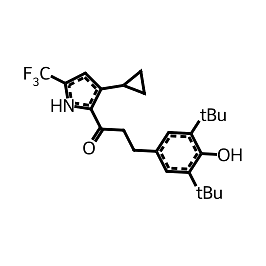 CC(C)(C)c1cc(CCC(=O)c2[nH]c(C(F)(F)F)cc2C2CC2)cc(C(C)(C)C)c1O